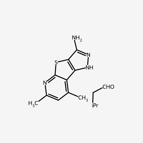 CC(C)CC=O.Cc1cc(C)c2c(n1)sc1c(N)n[nH]c12